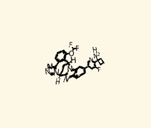 NC1(c2ncc(-c3ccc4nc5n(c4c3)[C@@H]3C[C@H]5n4cnnc4-c4cccc(OC(F)F)c43)cc2F)CCC1